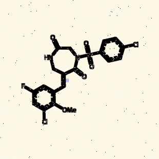 COc1c(Cl)cc(F)cc1/C=C1\CNC(=O)CN(S(=O)(=O)c2ccc(Cl)cc2)C1=O